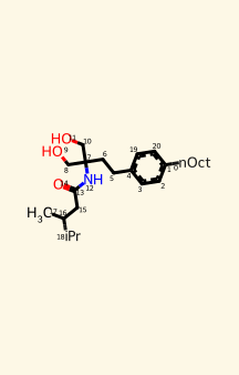 CCCCCCCCc1ccc(CCC(CO)(CO)NC(=O)CC(C)C(C)C)cc1